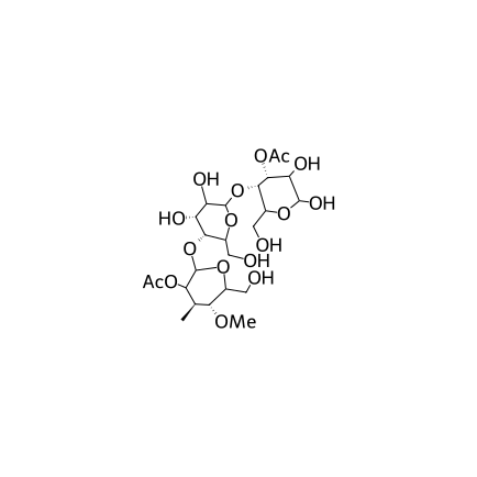 CO[C@H]1C(CO)OC(O[C@H]2C(CO)OC(O[C@H]3C(CO)OC(O)C(O)[C@H]3OC(C)=O)C(O)[C@H]2O)C(OC(C)=O)[C@@H]1C